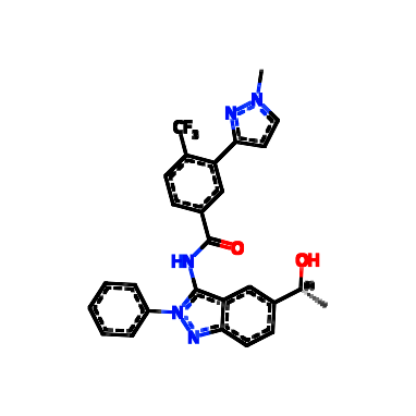 C[C@@H](O)c1ccc2nn(-c3ccccc3)c(NC(=O)c3ccc(C(F)(F)F)c(-c4ccn(C)n4)c3)c2c1